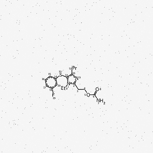 CCn1c(CCOC(N)=O)nc(C(C)C)c1Sc1cccc(F)c1